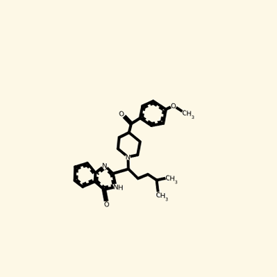 COc1ccc(C(=O)C2CCN(C(CCC(C)C)c3nc4ccccc4c(=O)[nH]3)CC2)cc1